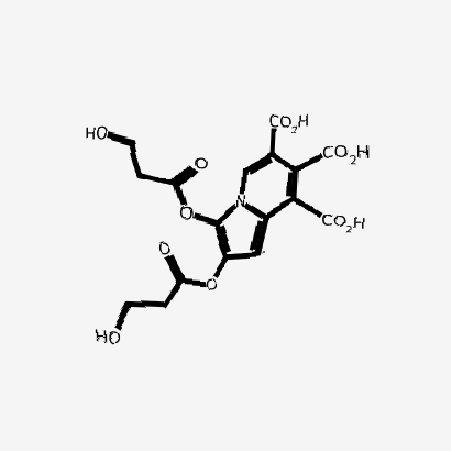 O=C(CCO)Oc1[c]c2c(C(=O)O)c(C(=O)O)c(C(=O)O)cn2c1OC(=O)CCO